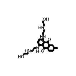 CC1C=CC2=C(C1)C(=O)c1c(NCCNCCO)ccc(NCCNCCO)c1C2=O